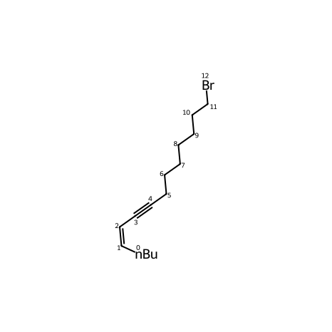 CCCC/C=C\C#CCCCCCCCBr